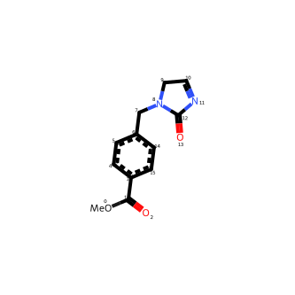 COC(=O)c1ccc(CN2CC=NC2=O)cc1